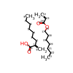 C=C(CCCCCCC)C(=O)O.C=CC(=O)OCCCCCCC